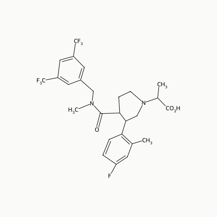 Cc1cc(F)ccc1C1CN(C(C)C(=O)O)CCC1C(=O)N(C)Cc1cc(C(F)(F)F)cc(C(F)(F)F)c1